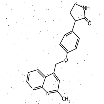 Cc1cc(COc2ccc(C3CCNC3=O)cc2)c2ccccc2n1